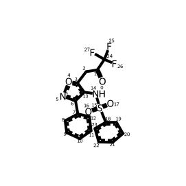 O=C(Cc1onc(-c2ccccc2)c1NS(=O)(=O)c1ccccc1)C(F)(F)F